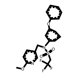 COc1ccc(CN(c2cccc(Oc3ccccc3)c2)S(=O)(=O)CC(F)(F)F)cn1